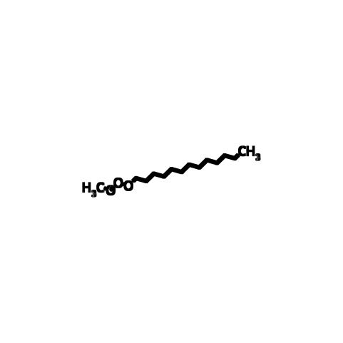 CCCCCCCCCCCCCOOOC